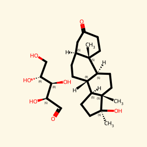 C[C@]12CCC(=O)C[C@@H]1CC[C@@H]1[C@@H]2CC[C@@]2(C)[C@H]1CC[C@]2(C)O.O=C[C@@H](O)[C@H](O)[C@H](O)CO